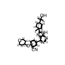 CC1(c2nc3c(-c4ccc(OC5CCOCC5)c(C#N)c4)ncnc3[nH]2)C=CC(C(C)(C)O)CC1